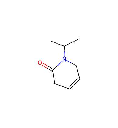 CC(C)N1CC=CCC1=O